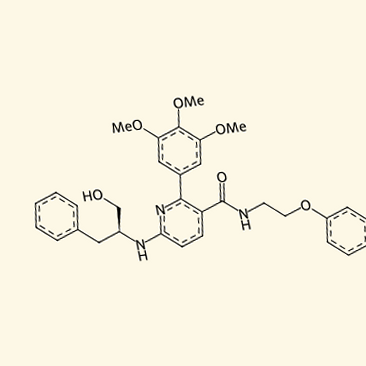 COc1cc(-c2nc(N[C@H](CO)Cc3ccccc3)ccc2C(=O)NCCOc2ccccc2)cc(OC)c1OC